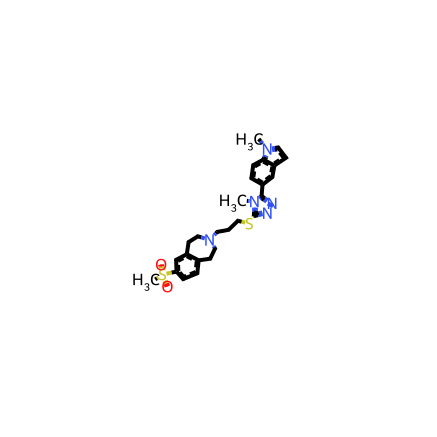 Cn1c(SCCCN2CCc3ccc(S(C)(=O)=O)cc3CC2)nnc1-c1ccc2c(ccn2C)c1